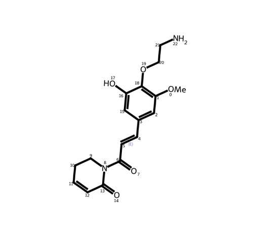 COc1cc(/C=C/C(=O)N2CCC=CC2=O)cc(O)c1OCCN